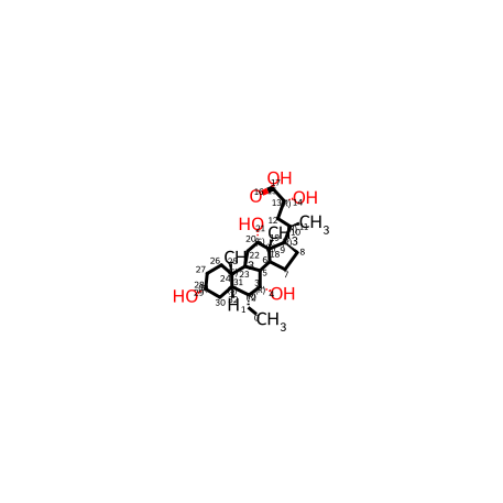 CC[C@H]1[C@@H](O)C2C3CC[C@H]([C@H](C)C[C@@H](O)C(=O)O)[C@@]3(C)[C@@H](O)CC2[C@@]2(C)CC[C@@H](O)C[C@@H]12